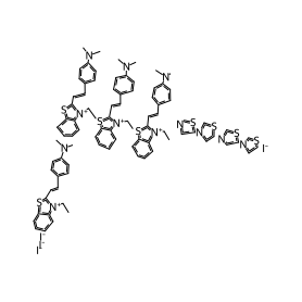 CC[n+]1c(C=Cc2ccc(N(C)C)cc2)sc2ccccc21.CC[n+]1c(C=Cc2ccc(N(C)C)cc2)sc2ccccc21.CC[n+]1c(C=Cc2ccc(N(C)C)cc2)sc2ccccc21.CC[n+]1c(C=Cc2ccc(N(C)C)cc2)sc2ccccc21.[I-].[I-].[I-].[I-].c1cscn1.c1cscn1.c1cscn1.c1cscn1